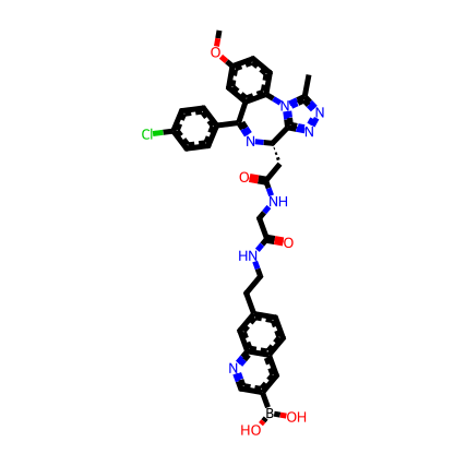 COc1ccc2c(c1)C(c1ccc(Cl)cc1)=N[C@@H](CC(=O)NCC(=O)NCCc1ccc3cc(B(O)O)cnc3c1)c1nnc(C)n1-2